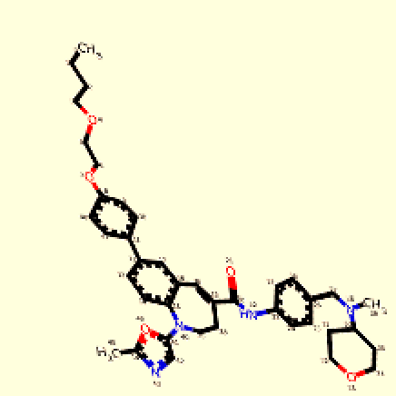 CCCCOCCOc1ccc(-c2ccc3c(c2)C=C(C(=O)Nc2ccc(CN(C)C4CCOCC4)cc2)CCN3c2cnc(C)o2)cc1